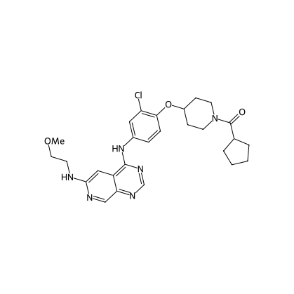 COCCNc1cc2c(Nc3ccc(OC4CCN(C(=O)C5CCCC5)CC4)c(Cl)c3)ncnc2cn1